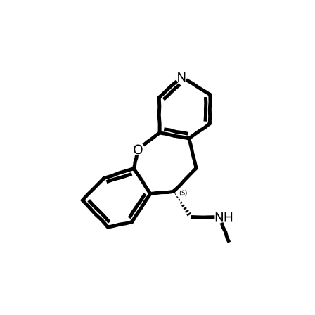 CNC[C@H]1Cc2ccncc2Oc2ccccc21